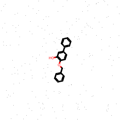 Oc1cc(-c2ccccc2)ccc1OCc1ccccc1